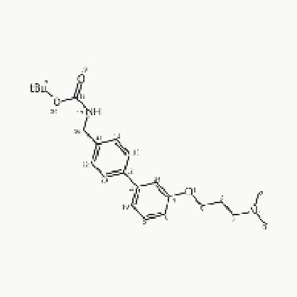 CN(C)CCCOc1cccc(-c2ccc(CNC(=O)OC(C)(C)C)cc2)c1